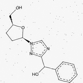 OC[C@@H]1CC[C@H](n2cnc(C(O)c3ccccc3)n2)O1